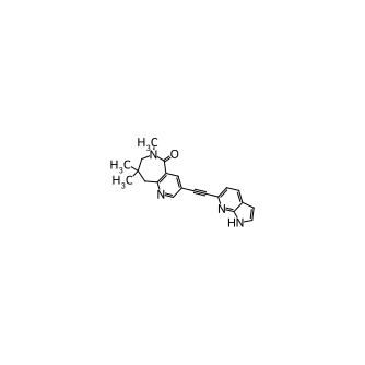 CN1CC(C)(C)Cc2ncc(C#Cc3ccc4cc[nH]c4n3)cc2C1=O